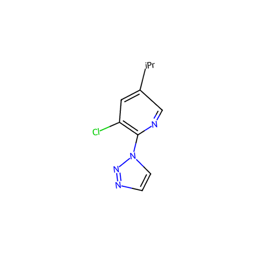 CC(C)c1cnc(-n2ccnn2)c(Cl)c1